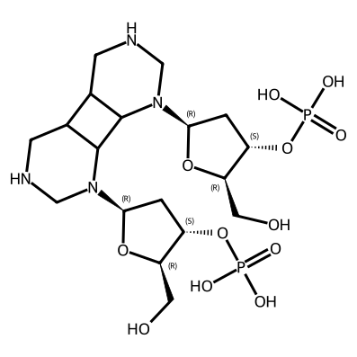 O=P(O)(O)O[C@H]1C[C@H](N2CNCC3C4CNCN([C@H]5C[C@H](OP(=O)(O)O)[C@@H](CO)O5)C4C32)O[C@@H]1CO